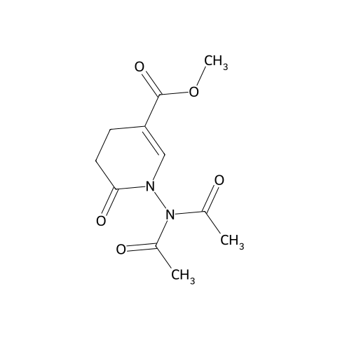 COC(=O)C1=CN(N(C(C)=O)C(C)=O)C(=O)CC1